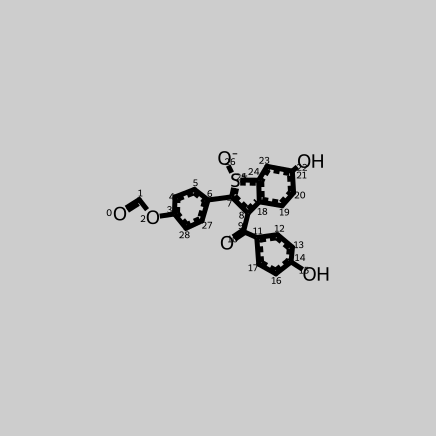 O=COc1ccc(-c2c(C(=O)c3ccc(O)cc3)c3ccc(O)cc3[s+]2[O-])cc1